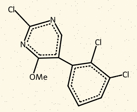 COc1nc(Cl)ncc1-c1cccc(Cl)c1Cl